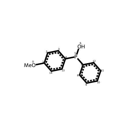 COc1ccc(P(O)c2ccccc2)cc1